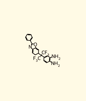 Nc1ccc(C(C2C=c3oc(-c4ccccc4)nc3=CC2)(C(F)(F)F)C(F)(F)F)cc1N